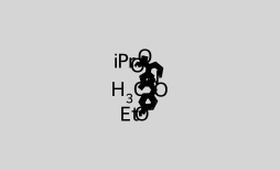 CCOc1ccc(C(=O)c2c(C)cc3n2CCCC3C(=O)OC(C)C)cc1